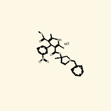 COC(=O)C1=C(C)NC(C)=C(C(=O)OC2(C)CCN(Cc3ccccc3)C2)C1c1cccc([N+](=O)[O-])c1.Cl